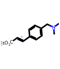 CCOC(=O)/C=C/c1ccc(CN(C)C)cc1